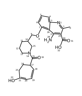 Cc1nc2cccc(OCC3CCCN(C(=O)C4C=CC=C(O)CC4)C3)c2c(N)c1C(=O)O